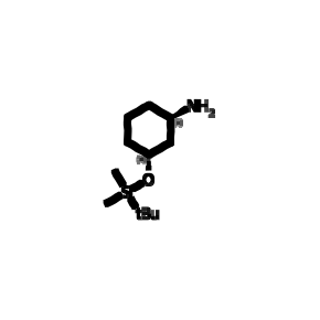 CC(C)(C)[Si](C)(C)O[C@@H]1CCC[C@@H](N)C1